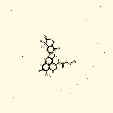 CC[C@@]1(O)C(=O)OCc2c1cc1n(c2=O)Cc2c-1nc1cc(F)c(C)c3c1c2[C@@H](NC(=O)COC(C)C)CC3